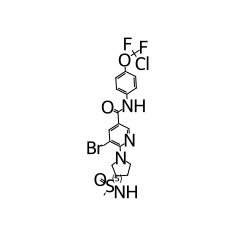 CS(=N)(=O)[C@H]1CCN(c2ncc(C(=O)Nc3ccc(OC(F)(F)Cl)cc3)cc2Br)C1